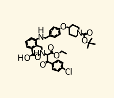 CCOC(=O)C(NCc1c(NCc2ccc(OC3CCN(C(=O)OC(C)(C)C)CC3)cc2)cccc1C(=O)O)C(=O)c1ccc(Cl)cc1